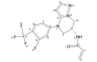 C=CC(=O)N[C@@H]1CN(c2ccc(C(F)(F)F)c(F)c2)c2ccnn2C1